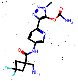 Cn1nnc(-c2ccc(NC(=O)C3(CN)CC(F)(F)C3)cn2)c1OC(N)=O